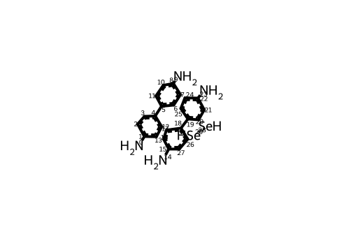 Nc1ccc(-c2ccc(N)cc2)cc1.Nc1ccc(-c2ccc(N)cc2)cc1.[SeH][SeH]